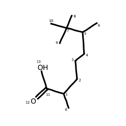 CC(CCCC(C)C(C)(C)C)C(=O)O